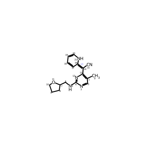 Cc1cnc(NCC2CCCO2)nc1/C(C#N)=C1\C=CC=CN1